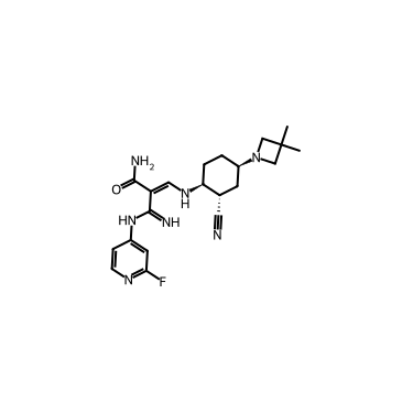 CC1(C)CN([C@@H]2CC[C@H](N/C=C(\C(=N)Nc3ccnc(F)c3)C(N)=O)[C@@H](C#N)C2)C1